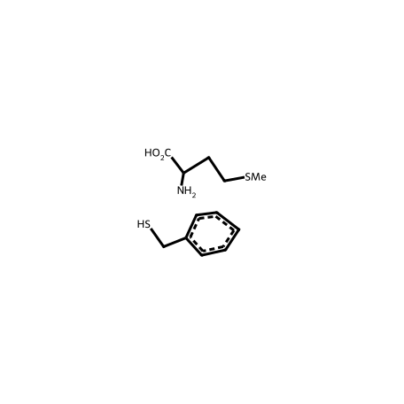 CSCCC(N)C(=O)O.SCc1ccccc1